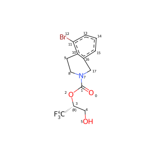 O=C(O[C@H](CO)C(F)(F)F)N1CCc2c(Br)cccc2C1